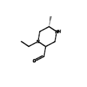 CCN1C[C@H](C)NCC1C=O